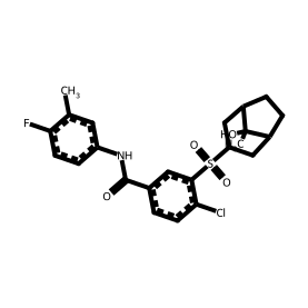 Cc1cc(NC(=O)c2ccc(Cl)c(S(=O)(=O)C3CC4CCC(C3)C4(C)O)c2)ccc1F